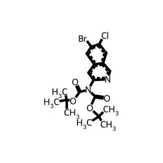 CC(C)(C)OC(=O)N(C(=O)OC(C)(C)C)c1cc2cc(Br)c(Cl)cc2cn1